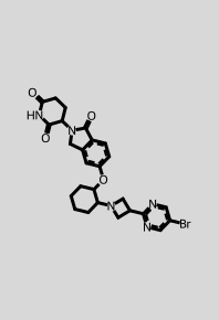 O=C1CCC(N2Cc3cc(OC4CCCCC4N4CC(c5ncc(Br)cn5)C4)ccc3C2=O)C(=O)N1